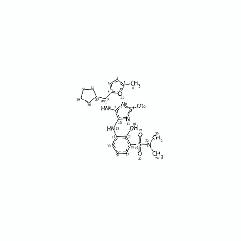 Cc1ccc([C@H](Nc2n[s+]([O-])nc2Nc2cccc(S(=O)(=O)N(C)C)c2O)C2CCCC2)o1